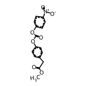 COC(=O)Cc1ccc(OC(=O)Oc2ccc([N+](=O)[O-])cc2)cc1